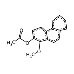 COc1c(OC(C)=O)ccc2c1ccc1ccccc12